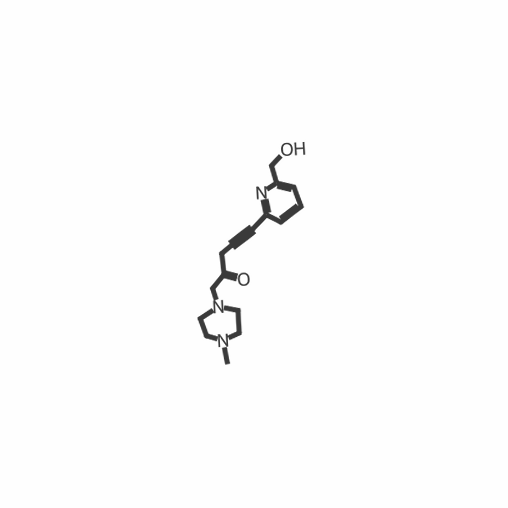 CN1CCN(CC(=O)CC#Cc2cccc(CO)n2)CC1